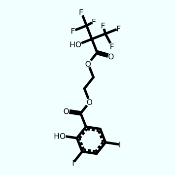 O=C(OCCOC(=O)C(O)(C(F)(F)F)C(F)(F)F)c1cc(I)cc(I)c1O